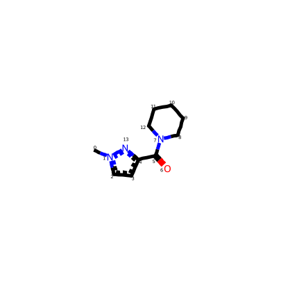 Cn1ccc(C(=O)N2CCCCC2)n1